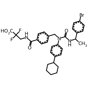 CC(NC(=O)N(Cc1ccc(C(=O)NCC(F)(F)C(=O)O)cc1)c1ccc(C2CCCCC2)cc1)c1ccc(Br)cc1